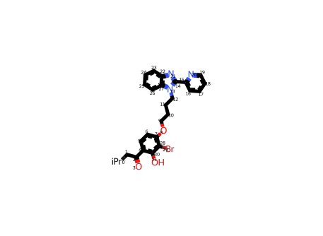 CC(C)CC(=O)c1ccc(OCCCCn2c(-c3ccccn3)nc3ccccc32)c(Br)c1O